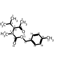 CC(=O)[C@H](C(C)C)N(C)C(=O)OCc1ccc(C)cc1